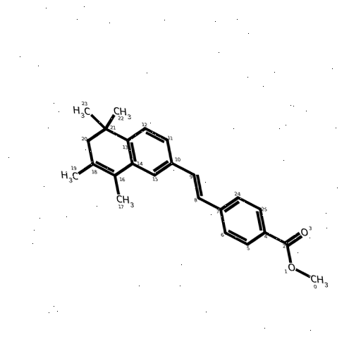 COC(=O)c1ccc(C=Cc2ccc3c(c2)C(C)=C(C)CC3(C)C)cc1